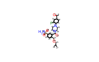 CC(=O)c1ccc(N2CCN(C(=O)c3cc(S(N)(=O)=O)ccc3COCC(C)C)CC2)c(F)c1